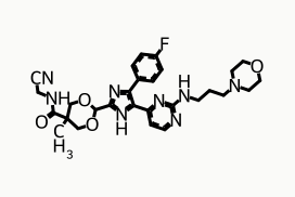 CC1(C(=O)NCC#N)COC(c2nc(-c3ccc(F)cc3)c(-c3ccnc(NCCCN4CCOCC4)n3)[nH]2)OC1